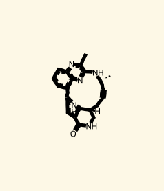 Cc1nc2cccc3c2nc1N[C@H](C)C#CC[C@@H]1CNC(=O)c2cc-3[nH]c21